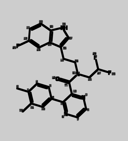 Cc1ccc(-c2nccnc2C(=O)N(CCc2c[nH]c3ccc(F)cc23)CC(F)F)cc1C